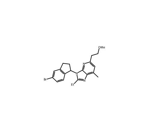 CCc1nc2c(C)cc(CCOC)nc2n1C1CCc2cc(Br)ccc21